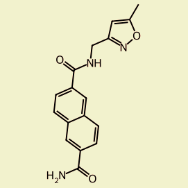 Cc1cc(CNC(=O)c2ccc3cc(C(N)=O)ccc3c2)no1